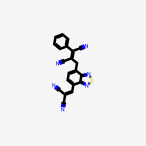 N#CC(C#N)=Cc1ccc(C/C(C#N)=C(\C#N)c2ccccc2)c2nsnc12